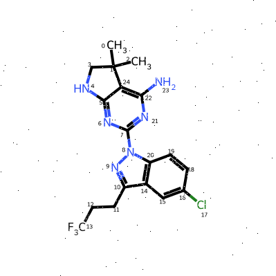 CC1(C)CNc2nc(-n3nc(CCC(F)(F)F)c4cc(Cl)ccc43)nc(N)c21